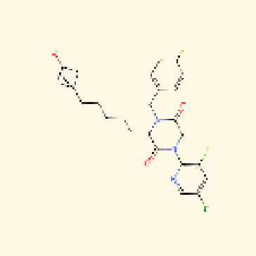 O=C1C(CCCCCC23CC(O)(C2)C3)N(Cc2ccc(F)cc2)C(=O)CN1c1ncc(Cl)cc1F